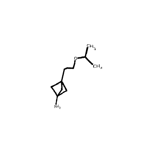 CC(C)OCCC12CC(N)(C1)C2